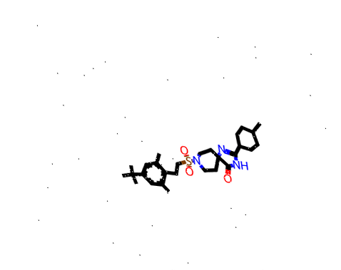 Cc1cc(C(C)(C)C)cc(C)c1CCS(=O)(=O)N1CCC2(CC1)N=C(C1CCC(C)CC1)NC2=O